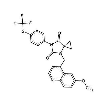 COc1ccc2nccc(CN3C(=O)N(c4ccc(SC(F)(F)F)cc4)C(=O)C34CC4)c2c1